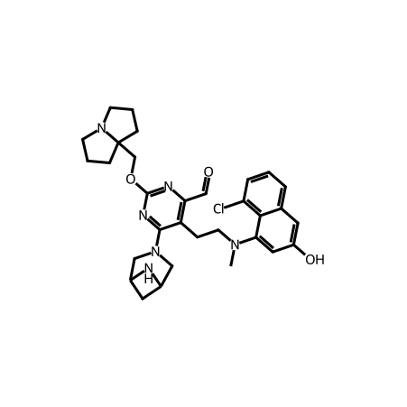 CN(CCc1c(C=O)nc(OCC23CCCN2CCC3)nc1N1CC2CC(C1)N2)c1cc(O)cc2cccc(Cl)c12